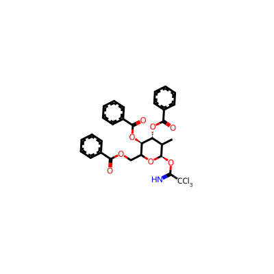 CC1[C@@H](OC(=N)C(Cl)(Cl)Cl)OC(COC(=O)c2ccccc2)[C@@H](OC(=O)c2ccccc2)[C@@H]1OC(=O)c1ccccc1